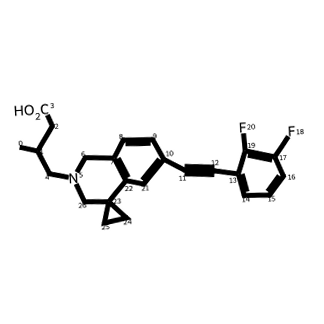 CC(CC(=O)O)CN1Cc2ccc(C#Cc3cccc(F)c3F)cc2C2(CC2)C1